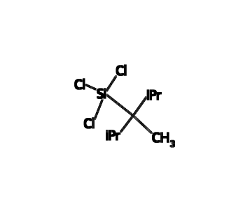 CC(C)C(C)(C(C)C)[Si](Cl)(Cl)Cl